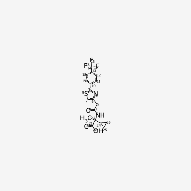 CC(NC(=O)Cc1csc(-c2ccc(C(F)(F)F)cc2)n1)(C(=O)O)C1CC1